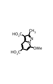 COc1cc(C(=O)O)cc2c(C(=O)O)c(C)nn12